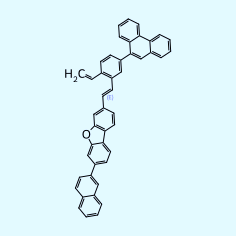 C=Cc1ccc(-c2cc3ccccc3c3ccccc23)cc1/C=C/c1ccc2c(c1)oc1cc(-c3ccc4ccccc4c3)ccc12